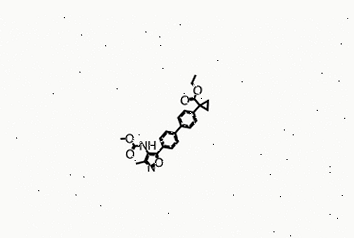 CCOC(=O)C1(c2ccc(-c3ccc(-c4onc(C)c4NC(=O)OC)cc3)cc2)CC1